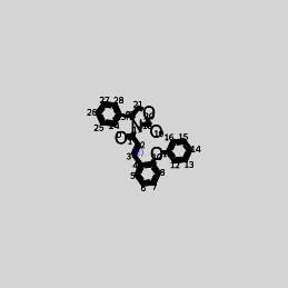 O=C(/C=C/c1ccccc1Oc1ccccc1)N1C(=O)OC[C@@H]1c1ccccc1